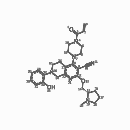 C=CC(=O)N1CCN(c2c(C#N)c(OC[C@@H]3CCCN3C)nc3c2CCN(c2ccccc2O)C3)CC1